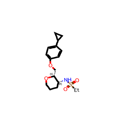 CCS(=O)(=O)N[C@@H]1CCCO[C@@H]1COc1ccc(C2CC2)cc1